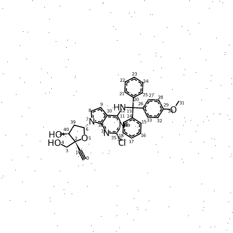 C#C[C@]1(CO)O[C@@H](n2ccc3c(NC(c4ccccc4)(c4ccccc4)c4ccc(OC)cc4)nc(Cl)nc32)C[C@@H]1O